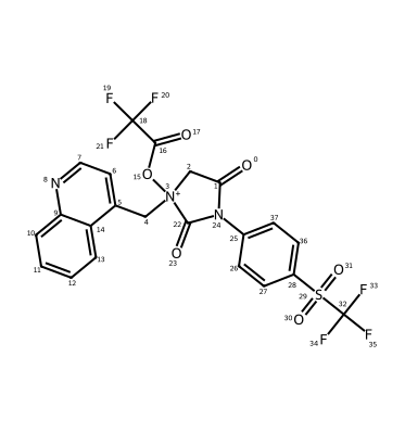 O=C1C[N+](Cc2ccnc3ccccc23)(OC(=O)C(F)(F)F)C(=O)N1c1ccc(S(=O)(=O)C(F)(F)F)cc1